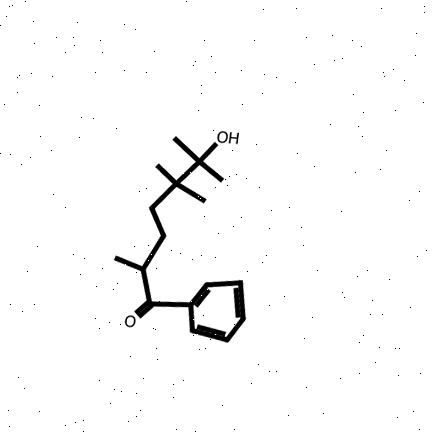 CC(CCC(C)(C)C(C)(C)O)C(=O)c1ccccc1